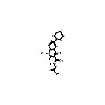 Cn1c(=O)c(C(=O)NCC(=O)O)c(O)c2cc(C3CCCCC3)cnc21